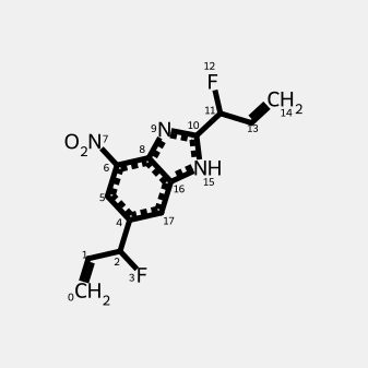 C=CC(F)c1cc([N+](=O)[O-])c2nc(C(F)C=C)[nH]c2c1